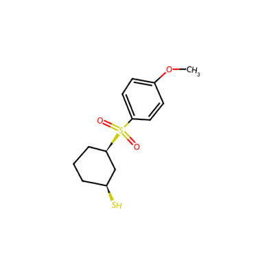 COc1ccc(S(=O)(=O)[C@@H]2CCC[C@H](S)C2)cc1